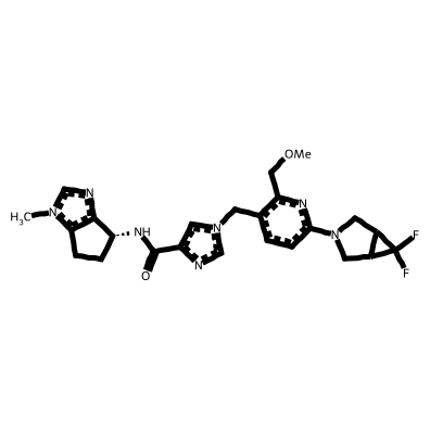 COCc1nc(N2CC3C(C2)C3(F)F)ccc1Cn1cnc(C(=O)N[C@@H]2CCc3c2ncn3C)c1